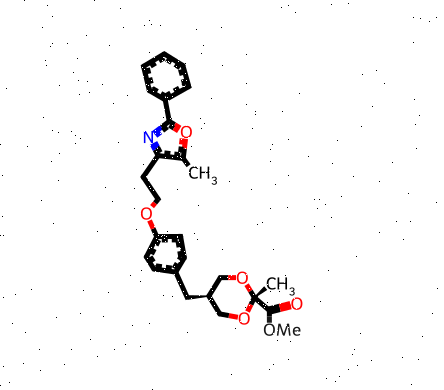 COC(=O)[C@]1(C)OC[C@@H](Cc2ccc(OCCc3nc(-c4ccccc4)oc3C)cc2)CO1